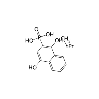 CCCC.O=P(O)(O)c1cc(O)c2ccccc2c1O